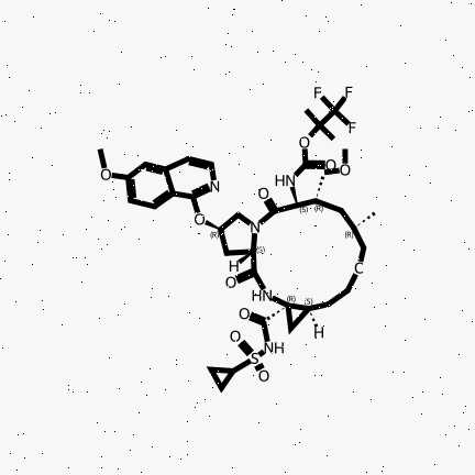 COC[C@@H]1C[C@H](C)CCCC[C@H]2C[C@@]2(C(=O)NS(=O)(=O)C2CC2)NC(=O)[C@@H]2C[C@@H](Oc3nccc4cc(OC)ccc34)CN2C(=O)[C@H]1NC(=O)OC(C)(C)C(F)(F)F